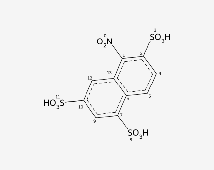 O=[N+]([O-])c1c(S(=O)(=O)O)ccc2c(S(=O)(=O)O)cc(S(=O)(=O)O)cc12